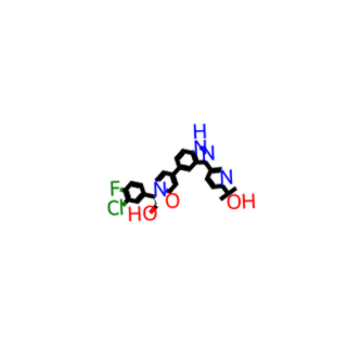 CC(C)(O)c1ccc(-c2n[nH]c3ccc(-c4ccn([C@H](CO)c5ccc(F)c(Cl)c5)c(=O)c4)cc23)cn1